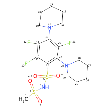 CS(=O)(=O)NS(=O)(=O)c1c(F)c(F)c(N2CCCCC2)c(F)c1N1CCCCC1